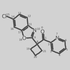 O=C(c1ccccn1)C1(c2nc3ccc(Cl)cc3o2)CCC1